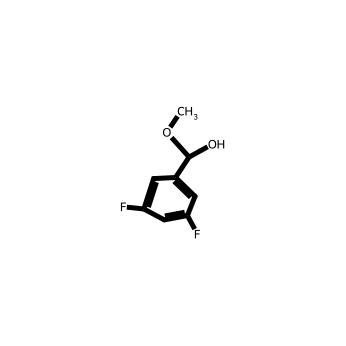 COC(O)c1cc(F)cc(F)c1